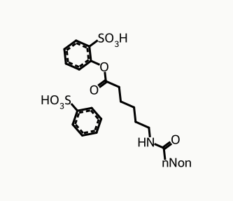 CCCCCCCCCC(=O)NCCCCCC(=O)Oc1ccccc1S(=O)(=O)O.O=S(=O)(O)c1ccccc1